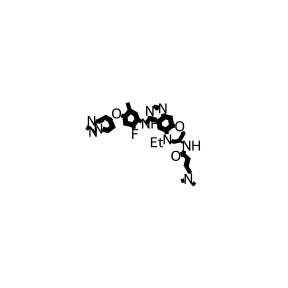 CCN1C[C@H](NC(=O)/C=C/CN(C)C)COc2cc3ncnc(Nc4cc(C)c(Oc5ccn6ncnc6c5)cc4F)c3cc21